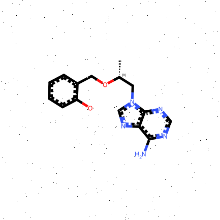 C[C@H](Cn1cnc2c(N)ncnc21)OCc1ccccc1[O]